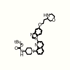 CC(C)(C)OC(=O)NC1CCN(c2cccc3ccc(-n4cnc5cc(OCCC6COCCN6)ccc54)nc23)CC1